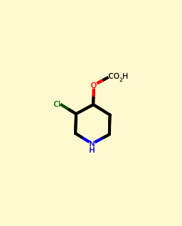 O=C(O)OC1CCNCC1Cl